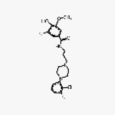 COc1cc(C(=O)NCCCN2CCN(c3cccc(Cl)c3Cl)CC2)cc(Cl)c1O